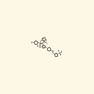 C[C@@H](c1cc(-c2ccc(OCc3cccc(C(F)(F)F)c3)cc2)no1)[C@](O)(Cn1cnnn1)c1ccc(F)cc1F